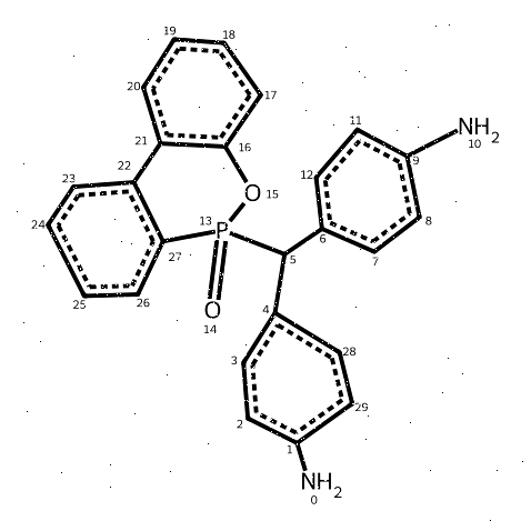 Nc1ccc(C(c2ccc(N)cc2)P2(=O)Oc3ccccc3-c3ccccc32)cc1